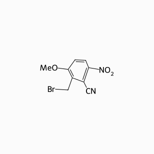 COc1ccc([N+](=O)[O-])c(C#N)c1CBr